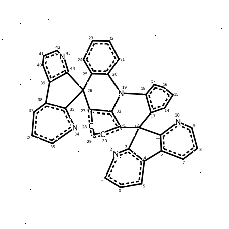 c1cnc2c(c1)-c1cccnc1C21c2ccccc2N2c3ccccc3C3(c4cccc1c42)c1ncccc1-c1cccnc13